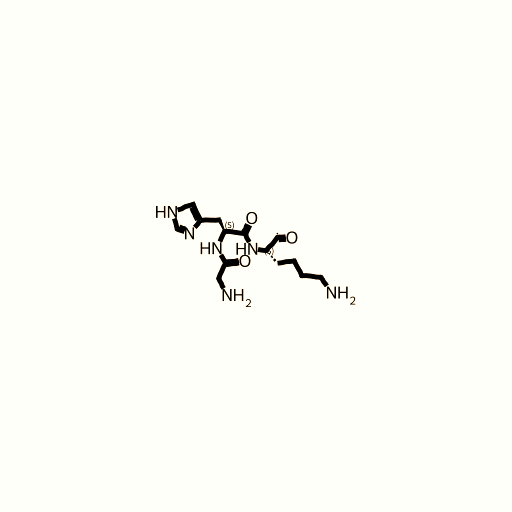 NCCCC[C@@H]([C]=O)NC(=O)[C@H](Cc1c[nH]cn1)NC(=O)CN